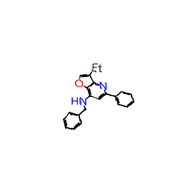 CCc1coc2c(NCc3ccccc3)cc(-c3ccccc3)nc12